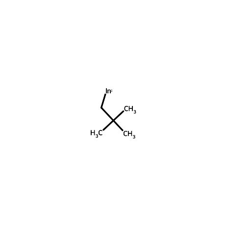 CC(C)(C)[CH2][In]